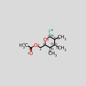 CC(=O)OCC1O[C@@H](F)C(C)[C@@H](C)[C@@H]1C